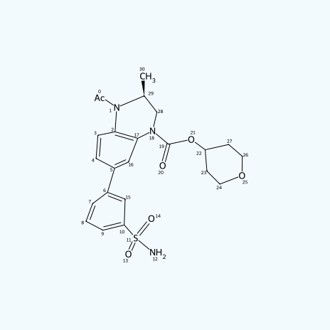 CC(=O)N1c2ccc(-c3cccc(S(N)(=O)=O)c3)cc2N(C(=O)OC2CCOCC2)C[C@@H]1C